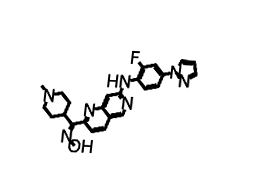 CN1CCC(/C(=N/O)c2ccc3cnc(Nc4ccc(-n5cccn5)cc4F)cc3n2)CC1